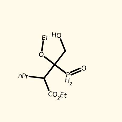 CCCC(C(=O)OCC)C(CO)(OCC)[PH2]=O